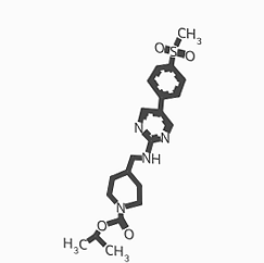 CC(C)OC(=O)N1CCC(CNc2ncc(-c3ccc(S(C)(=O)=O)cc3)cn2)CC1